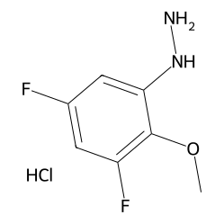 COc1c(F)cc(F)cc1NN.Cl